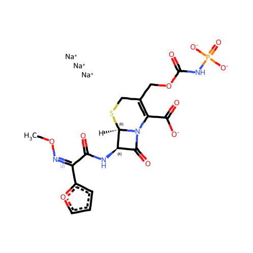 CO/N=C(\C(=O)N[C@@H]1C(=O)N2C(C(=O)[O-])=C(COC(=O)NP(=O)([O-])[O-])CS[C@H]12)c1ccco1.[Na+].[Na+].[Na+]